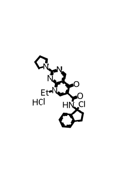 CCn1cc(C(=O)NC2(Cl)CCc3ccccc32)c(=O)c2cnc(N3CCCC3)nc21.Cl